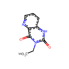 O=C(O)Cn1c(=O)[nH]c2cccnc2c1=O